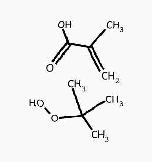 C=C(C)C(=O)O.CC(C)(C)OO